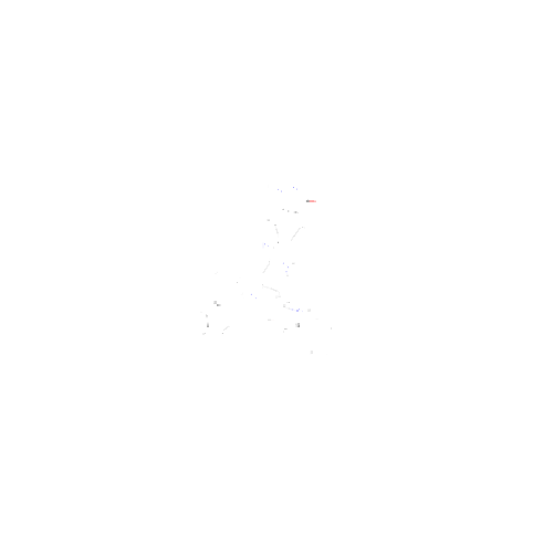 Cn1[nH]c(=O)c2ccc(Nc3cc(N[C@H](CO)c4ccccc4)c(C4=NC5(CCOCC5)CO4)cn3)cc21